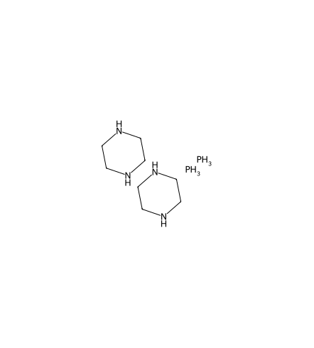 C1CNCCN1.C1CNCCN1.P.P